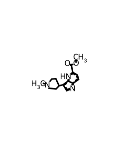 COC(=O)c1ccc2ncc(C3CCN(C)CC3)c-2[nH]1